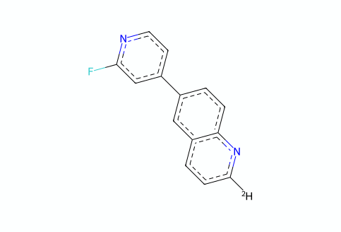 [2H]c1ccc2cc(-c3ccnc(F)c3)ccc2n1